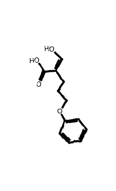 O=C(O)C(=CO)CCCOc1ccccc1